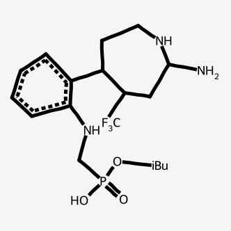 CCC(C)OP(=O)(O)CNc1ccccc1C1CCNC(N)CC1C(F)(F)F